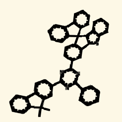 CC1(C)c2ccccc2-c2ccc(-c3nc(-c4ccccc4)nc(-c4ccc5c(c4)-c4sc6ccccc6c4C54c5ccccc5-c5ccccc54)n3)cc21